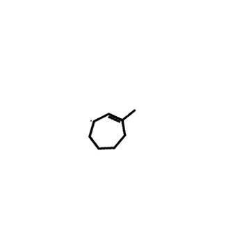 CC1=C[CH]CCCC1